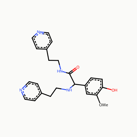 COc1cc(C(NCCc2ccncc2)C(=O)NCCc2ccncc2)ccc1O